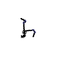 CCCCC/C=C\C/C=C\CCCCCCCCC1(CCCCCCCC/C=C\C/C=C\CCCCC)OCC(C[C@@H]2CCC(N(C)C)C2)O1